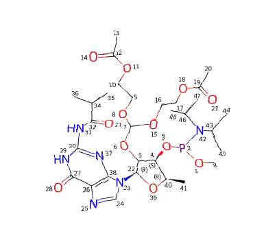 COP(O[C@@H]1C(OC(OCCOC(C)=O)OCCOC(C)=O)[C@H](n2cnc3c(=O)[nH]c(NC(=O)C(C)C)nc32)O[C@@H]1C)N(C(C)C)C(C)C